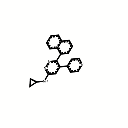 c1ccc2c(-c3nnc(NC4CC4)cc3-c3ccncc3)cccc2c1